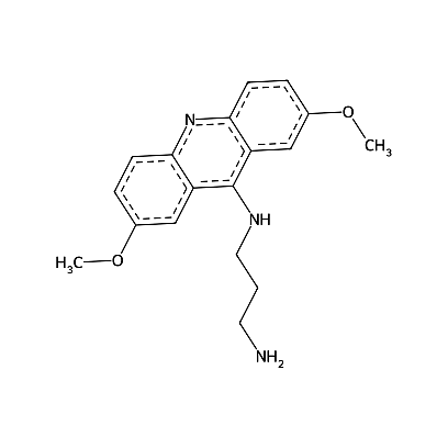 COc1ccc2nc3ccc(OC)cc3c(NCCCN)c2c1